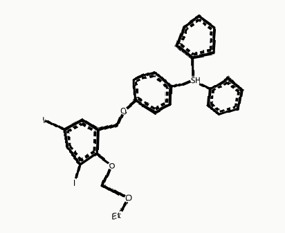 CCOCOc1c(I)cc(I)cc1COc1ccc([SH](c2ccccc2)c2ccccc2)cc1